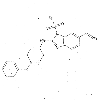 CC(C)S(=O)(=O)n1c(NC2CCN(Cc3ccccc3)CC2)nc2ccc(C=N)cc21